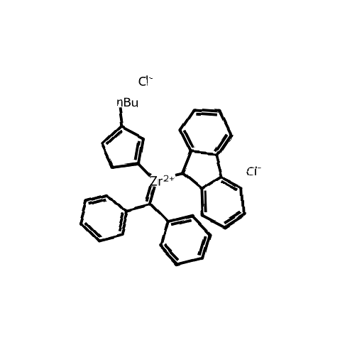 CCCCC1=CC[C]([Zr+2](=[C](c2ccccc2)c2ccccc2)[CH]2c3ccccc3-c3ccccc32)=C1.[Cl-].[Cl-]